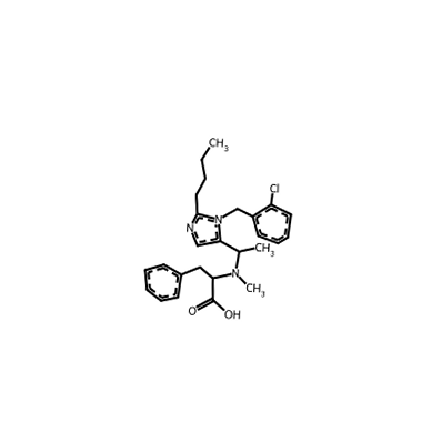 CCCCc1ncc(C(C)N(C)C(Cc2ccccc2)C(=O)O)n1Cc1ccccc1Cl